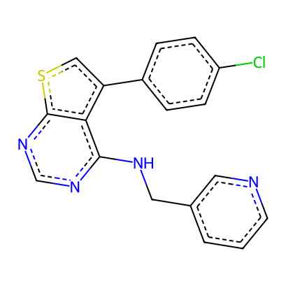 Clc1ccc(-c2csc3ncnc(NCc4cccnc4)c23)cc1